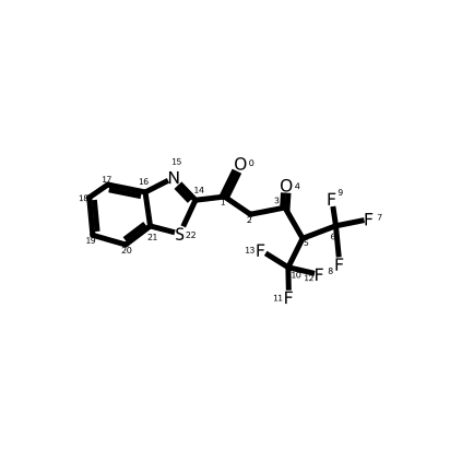 O=C(CC(=O)C(C(F)(F)F)C(F)(F)F)c1nc2ccccc2s1